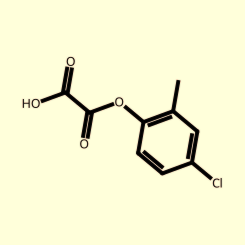 Cc1cc(Cl)ccc1OC(=O)C(=O)O